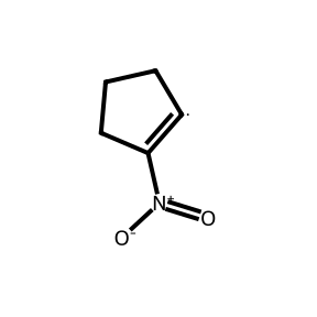 O=[N+]([O-])C1=[C]CCC1